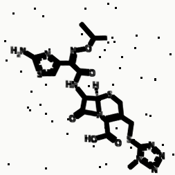 CC(C)O/N=C(\C(=O)NC1C(=O)N2C(C(=O)O)=C(CSc3nnnn3C)CS[C@H]12)c1csc(N)n1